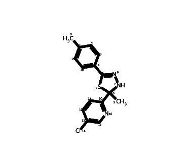 Cc1ccc(C2=NNC(C)(c3ccc(Cl)cn3)S2)cc1